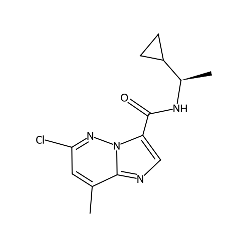 Cc1cc(Cl)nn2c(C(=O)N[C@H](C)C3CC3)cnc12